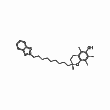 Cc1c(C)c2c(c(C)c1O)CC[C@@](C)(CCCCCCCCCn1nc3ccccc3n1)O2